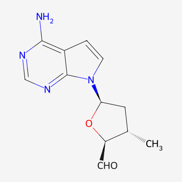 C[C@H]1C[C@H](n2ccc3c(N)ncnc32)O[C@@H]1C=O